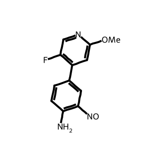 COc1cc(-c2ccc(N)c(N=O)c2)c(F)cn1